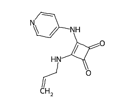 C=CCNc1c(Nc2ccncc2)c(=O)c1=O